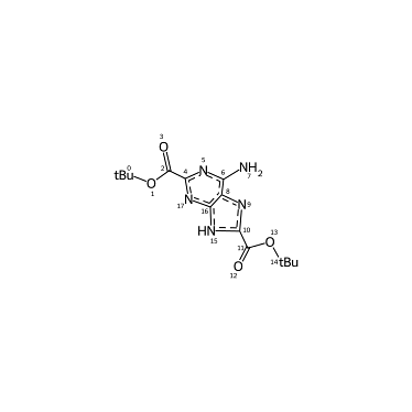 CC(C)(C)OC(=O)c1nc(N)c2nc(C(=O)OC(C)(C)C)[nH]c2n1